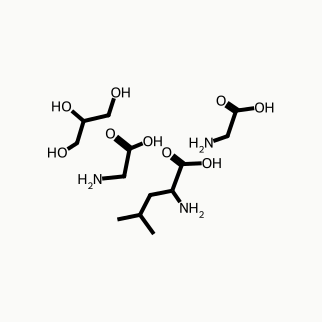 CC(C)CC(N)C(=O)O.NCC(=O)O.NCC(=O)O.OCC(O)CO